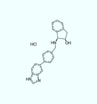 Cl.O[C@@H]1Cc2ccccc2[C@@H]1NCc1ccc(-c2ccc3[nH]cnc3c2)cc1